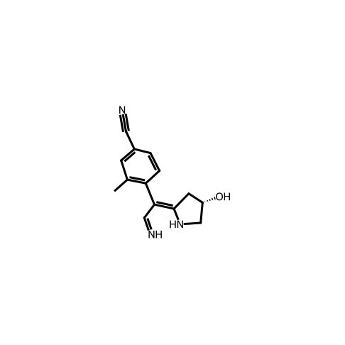 Cc1cc(C#N)ccc1/C(C=N)=C1\C[C@H](O)CN1